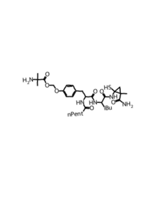 CCCCCC(=O)NC(Cc1ccc(OCOC(=O)C(C)(C)N)cc1)C(=O)NC(C(=O)NC1(S)CC1(C)C(N)=O)C(C)CC